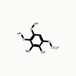 CCCOc1cc(OC(=O)O)c(O)c(C(C)(C)C)c1OCCC